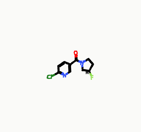 O=C(c1ccc(Cl)nc1)N1CC[C@@H](F)C1